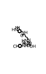 O=C(CCCc1nc(OC(=O)O)c(NC(=O)Nc2ccc(Cl)cc2)[nH]1)Nc1ccc2[nH]nnc2c1